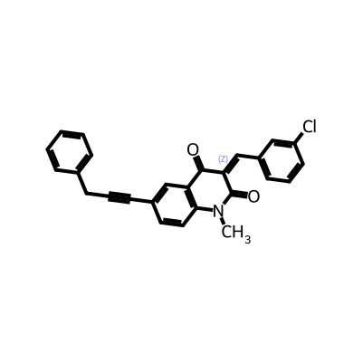 CN1C(=O)/C(=C\c2cccc(Cl)c2)C(=O)c2cc(C#CCc3ccccc3)ccc21